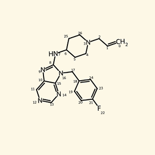 C=CCN1CCC(Nc2nc3cncnc3n2Cc2ccc(F)cc2)CC1